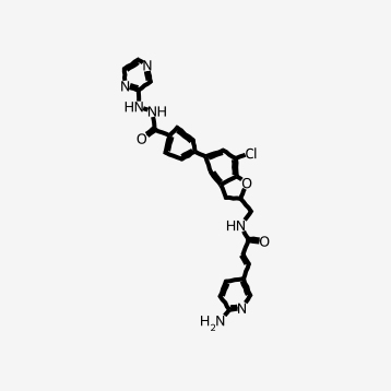 Nc1ccc(C=CC(=O)NCC2Cc3cc(-c4ccc(C(=O)NNc5cnccn5)cc4)cc(Cl)c3O2)cn1